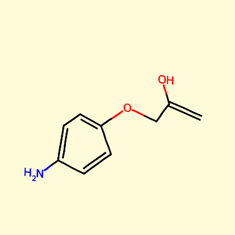 C=C(O)COc1ccc(N)cc1